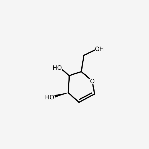 OCC1OC=C[C@@H](O)C1O